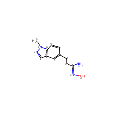 Cn1ncc2cc(CC/C(N)=N/O)ccc21